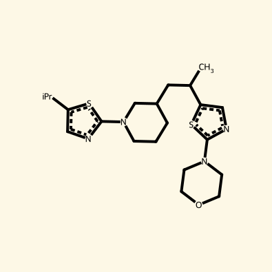 CC(C)c1cnc(N2CCCC(CC(C)c3cnc(N4CCOCC4)s3)C2)s1